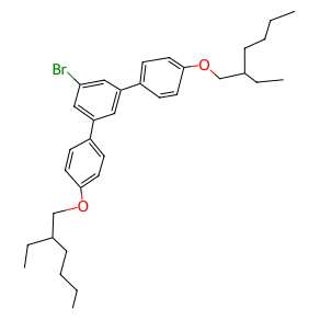 CCCCC(CC)COc1ccc(-c2cc(Br)cc(-c3ccc(OCC(CC)CCCC)cc3)c2)cc1